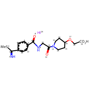 CSC(=N)c1ccc(C(=O)NCC(=O)N2CCC(OCC(=O)O)CC2)cc1.I